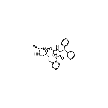 C#CC1CO[C@H](CCc2ccccc2NC(=O)C(NC(=O)OC)C(c2ccccc2)c2ccccc2)CN1